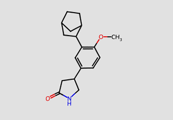 COc1ccc(C2CNC(=O)C2)cc1C1CC2CCC1C2